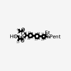 C=C(C)C(=O)OCC(COC(=O)C(=C)CO)C1CCC(C2CCC(c3ccc(CCCCC)c(CC)c3)CC2)CC1